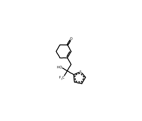 O=C1C=C(CC(O)(c2cccs2)C(F)(F)F)CCC1